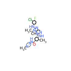 Cc1cc(C(=O)NN2CCN(C)CC2)ccc1Nc1ncc2nc(Nc3ccc(F)c(Cl)c3)n(C(C)C)c2n1